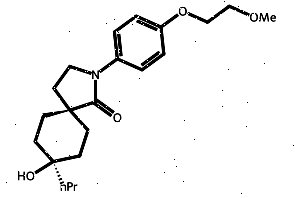 CCC[C@]1(O)CC[C@]2(CCN(c3ccc(OCCOC)cc3)C2=O)CC1